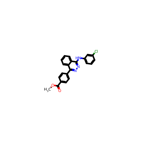 COC(=O)c1ccc(-c2nnc(Nc3cccc(Cl)c3)c3ccccc23)cc1